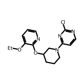 CCOc1cccnc1OC1CCCN(c2ccnc(Cl)n2)C1